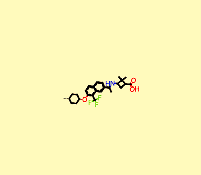 CC(NC1CC(C(=O)O)C1(C)C)c1ccc2ccc(O[C@H]3CC[C@@H](C)CC3)c(C(F)(F)F)c2c1